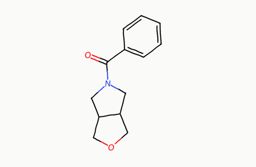 O=C(c1ccccc1)N1CC2COCC2C1